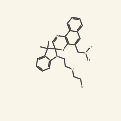 CCN(CC)Cc1cc2ccccc2c2c1OC1(C=N2)N(CCOCCBr)c2ccccc2C1(C)C